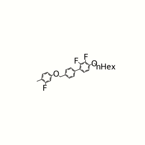 CCCCCCOc1ccc(-c2ccc(COc3ccc(C)c(F)c3)cc2)c(F)c1F